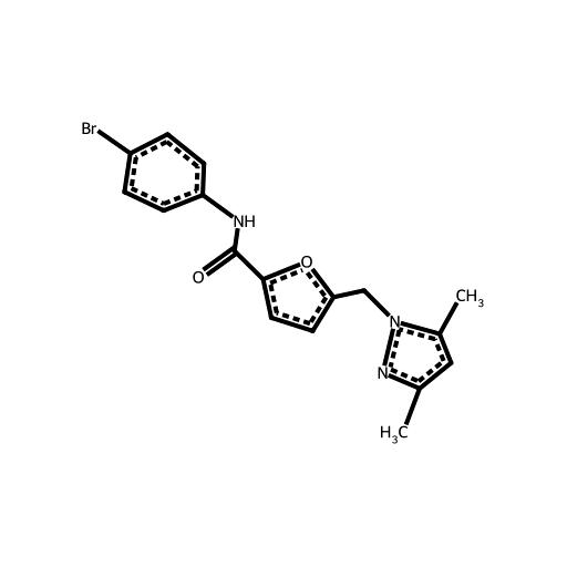 Cc1cc(C)n(Cc2ccc(C(=O)Nc3ccc(Br)cc3)o2)n1